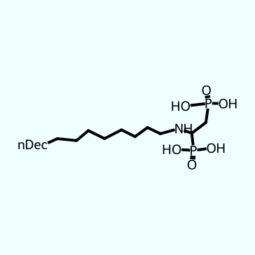 CCCCCCCCCCCCCCCCCCNC(CP(=O)(O)O)P(=O)(O)O